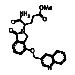 COC(=O)CCC(C(N)=O)N1Cc2c(OCc3cnc4ccccc4c3)cccc2C1=O